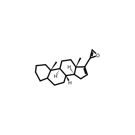 C[C@]12CCCCC1CC[C@@H]1[C@@H]2CC[C@]2(C)C(C3=CO3)=CC[C@@H]12